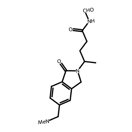 CNCc1ccc2c(c1)CN(C(C)CCC(=O)NC=O)C2=O